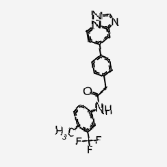 Cc1ccc(NC(=O)Cc2ccc(-c3ccn4ncnc4c3)cc2)cc1C(F)(F)F